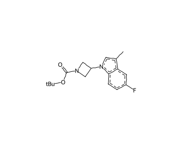 Cc1cn(C2CN(C(=O)OC(C)(C)C)C2)c2ccc(F)cc12